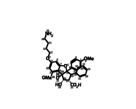 COc1c#cc([C@]23Oc4cc(OCCCCN)cc(OC)c4[C@@]2(O)[C@@H](O)[C@@H](C(=O)O)C3C2C=CC=CC2)cc1